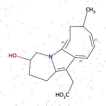 CC1\C=C/C=c2/c(CC(=O)O)c3n(/c2=C\C1)CC(O)CC3